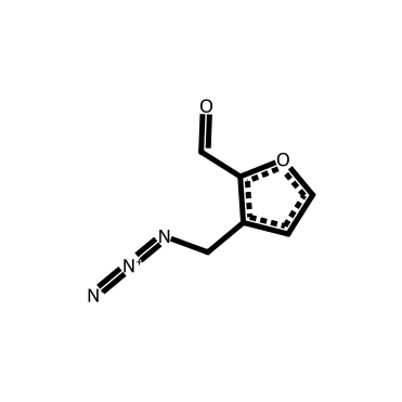 [N-]=[N+]=NCc1ccoc1C=O